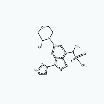 C[C@@H]1COCCN1c1cc(N(C)S(C)(=O)=O)c2cnn(-c3cc[nH]n3)c2n1